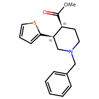 COC(=O)[C@H]1CCN(Cc2ccccc2)C[C@H]1c1cccs1